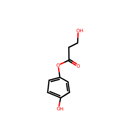 O=C(CCO)Oc1ccc(O)cc1